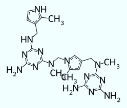 Cc1[nH]ccc1CNc1nc(N)nc(N(C)Cn2cc(CN(C)c3nc(N)nc(N)n3)cc2C)n1